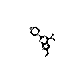 CCc1cc2c(N(C)C)nc(N3CCNCC3)nc2s1